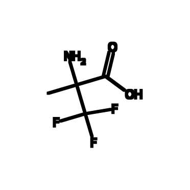 CC(N)(C(=O)O)C(F)(F)F